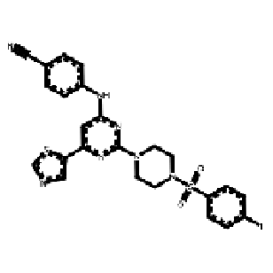 N#Cc1ccc(Nc2cc(-c3cncs3)nc(N3CCN(S(=O)(=O)c4ccc(F)cc4)CC3)n2)cc1